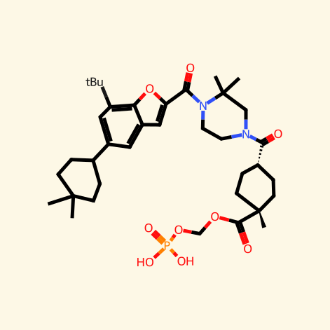 CC1(C)CCC(c2cc(C(C)(C)C)c3oc(C(=O)N4CCN(C(=O)[C@H]5CC[C@@](C)(C(=O)OCOP(=O)(O)O)CC5)CC4(C)C)cc3c2)CC1